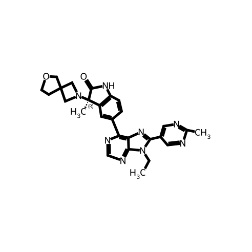 CCn1c(-c2cnc(C)nc2)nc2c(-c3ccc4c(c3)[C@@](C)(N3CC5(CCOC5)C3)C(=O)N4)ncnc21